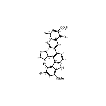 CNc1cc(F)c(F)c2c1[nH]c1ncc(-c3cnc4c(c3)c(=O)c(C(=O)O)cn4C)c(N3CCCC3)c12